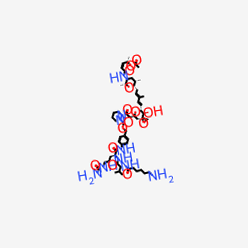 CC(=O)O[C@@H](C)/C=C\C(=O)N[C@@H]1C[C@H](C)[C@H](C/C=C(C)/C=C/[C@H]2O[C@H](CC(=O)N3CCCCN3C(=O)OCc3ccc(NC(=O)[C@H](CCCNC(N)=O)NC(=O)[C@@H](NC(=O)CCCCCN)C(C)C)cc3)C[C@@]3(CO3)[C@@H]2O)O[C@@H]1C